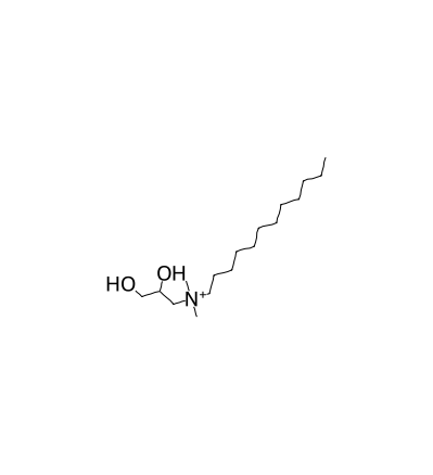 CCCCCCCCCCCC[N+](C)(C)CC(O)CO